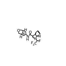 CN1[C@@H]2COC[C@H]1CC(NC(=O)c1cn(C(F)C(F)(F)F)c3ncccc13)C2